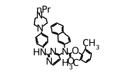 CCCN1CCN(c2ccc(Nc3nccc(N(C(=O)Oc4c(C)cccc4C)c4ccc5ccccc5c4)n3)cc2)CC1